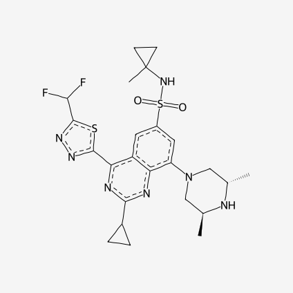 C[C@H]1CN(c2cc(S(=O)(=O)NC3(C)CC3)cc3c(-c4nnc(C(F)F)s4)nc(C4CC4)nc23)C[C@H](C)N1